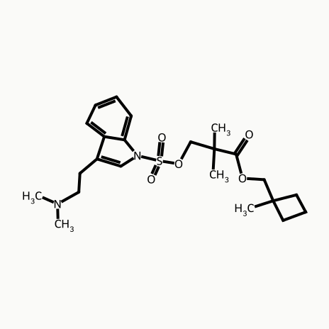 CN(C)CCc1cn(S(=O)(=O)OCC(C)(C)C(=O)OCC2(C)CCC2)c2ccccc12